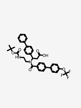 CC(C)(C)OC(=O)NCCN(C(=O)c1ccc(-c2ccc(OC(F)(F)F)cc2)cc1)C(CC(=O)O)c1ccc(-c2ccccc2)cc1